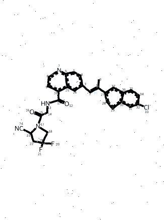 C/C(=C\c1ccc2nccc(C(=O)NCC(=O)N3CC(F)(F)CC3C#N)c2c1)c1ccc2cc(Cl)ccc2c1